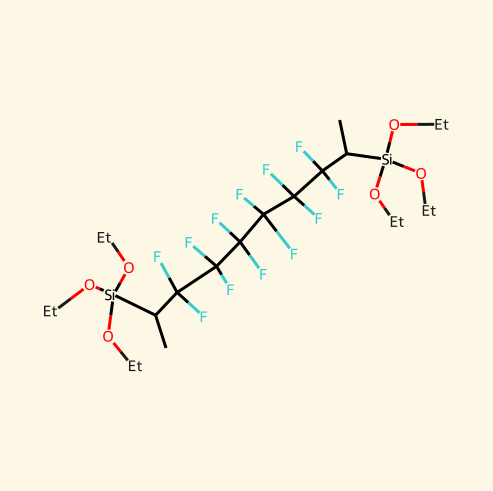 CCO[Si](OCC)(OCC)C(C)C(F)(F)C(F)(F)C(F)(F)C(F)(F)C(F)(F)C(F)(F)C(C)[Si](OCC)(OCC)OCC